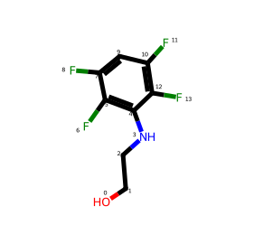 OCCNc1c(F)c(F)[c]c(F)c1F